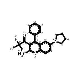 Cc1nc2ccc(N3CCCC3)cc2c(-c2ccccc2)c1C(=O)C(F)(F)F